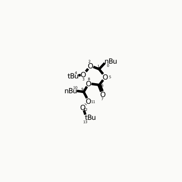 CCCCC(OOC(C)(C)C)OC(=O)OC(CCCC)OOC(C)(C)C